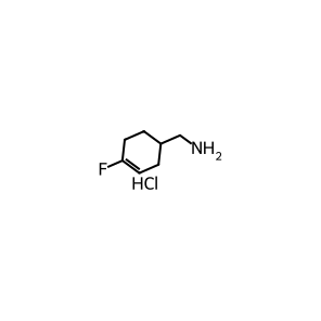 Cl.NCC1CC=C(F)CC1